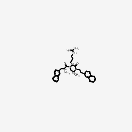 C[C@@H]1CN(C(=O)[C@H](N)Cc2ccc3ccccc3c2)[C@@H](CCCNC(=N)N)C(=O)N1CCc1ccc2ccccc2c1